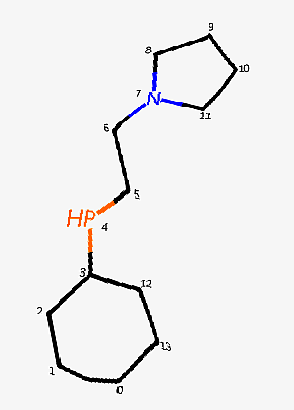 C1CCC(PCCN2CCCC2)CC1